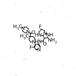 CN1CCN(C(=O)C2(C)CCN(c3c(F)cncc3NC(=O)C3C(N)NN4CC(F)CNC34)CC2)CC1